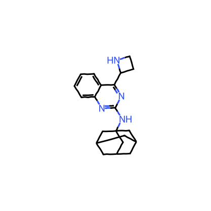 c1ccc2c(C3CCN3)nc(NC34CC5CC(CC(C5)C3)C4)nc2c1